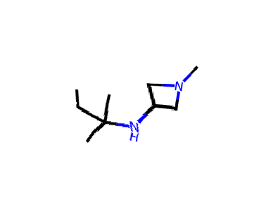 CCC(C)(C)NC1CN(C)C1